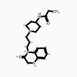 CCC(=O)NC1CCN(CCCN2C(=O)CSc3ccccc32)CC1